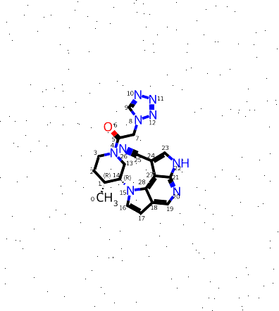 C[C@@H]1CCN(C(=O)Cn2cnnn2)C[C@@H]1n1ccc2cnc3[nH]cc(C#N)c3c21